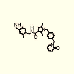 Cc1cc(CN)ccc1CNC(=O)c1cc(C)n(Cc2ccc(Cn3ccccc3=O)cc2)c1C